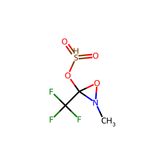 CN1OC1(O[SH](=O)=O)C(F)(F)F